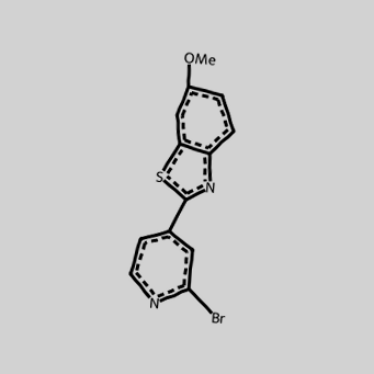 COc1ccc2nc(-c3ccnc(Br)c3)sc2c1